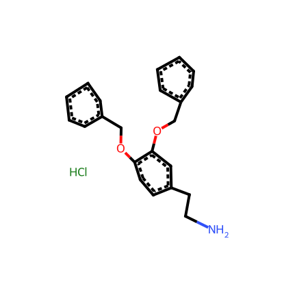 Cl.NCCc1ccc(OCc2ccccc2)c(OCc2ccccc2)c1